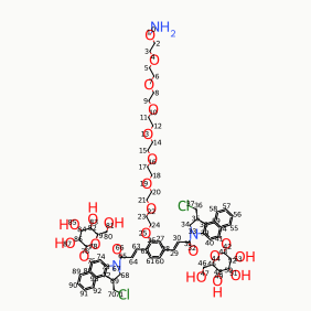 NOCCOCCOCCOCCOCCOCCOCCOCCOc1cc(/C=C/C(=O)N2C[C@@H](CCl)c3c2cc(O[C@@H]2O[C@H](CO)[C@H](O)[C@H](O)[C@H]2O)c2ccccc32)ccc1/C=C/C(=O)N1C[C@@H](CCl)c2c1cc(O[C@@H]1O[C@H](CO)[C@H](O)[C@H](O)[C@H]1O)c1ccccc21